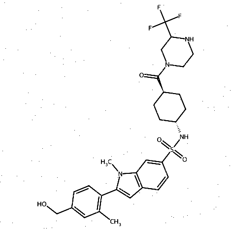 Cc1cc(CO)ccc1-c1cc2ccc(S(=O)(=O)N[C@H]3CC[C@H](C(=O)N4CCNC(C(F)(F)F)C4)CC3)cc2n1C